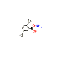 NOB(O)c1cc(C2CC2)ccc1C1CC1